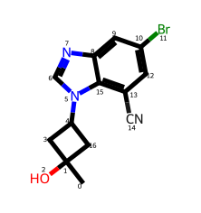 CC1(O)CC(n2cnc3cc(Br)cc(C#N)c32)C1